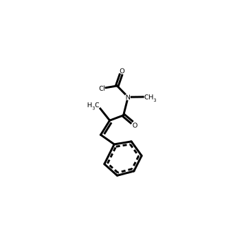 CC(=Cc1ccccc1)C(=O)N(C)C(=O)Cl